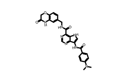 CN(C)c1ccc(C(=O)Nc2c[nH]c3c(C(=O)NCc4ccc5c(c4)NC(=O)CO5)ncnc23)cc1